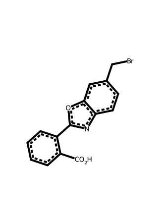 O=C(O)c1ccccc1-c1nc2ccc(CBr)cc2o1